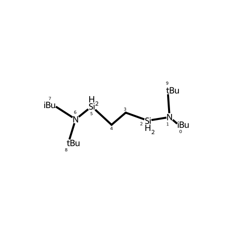 CCC(C)N([SiH2]CC[SiH2]N(C(C)CC)C(C)(C)C)C(C)(C)C